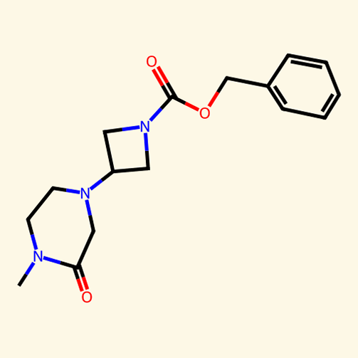 CN1CCN(C2CN(C(=O)OCc3ccccc3)C2)CC1=O